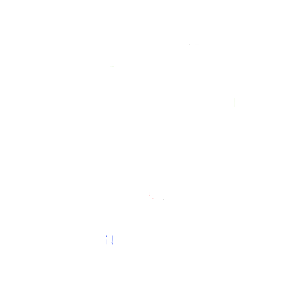 Fc1cc(Oc2ccccn2)c(F)c(F)c1C(F)(F)F